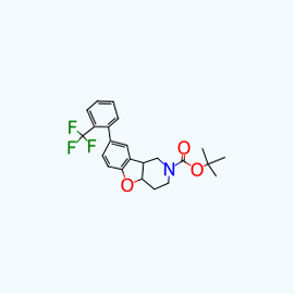 CC(C)(C)OC(=O)N1CCC2Oc3ccc(-c4ccccc4C(F)(F)F)cc3C2C1